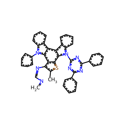 C=N/C=N\c1c(C)sc2c1c1c(c3ccccc3n1-c1ccccc1)c1c3ccccc3n(-c3nc(-c4ccccc4)nc(-c4ccccc4)n3)c21